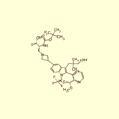 CO[C@@H](C)c1ncccc1-c1c(CC(C)(C)CO)c2cc(C3CN(C[C@H](NC(=O)OC(C)(C)C)C(=O)O)C3)ccc2n1CC(F)(F)F